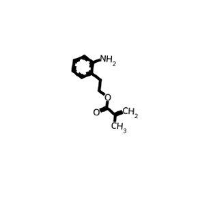 C=C(C)C(=O)OCCc1ccccc1N